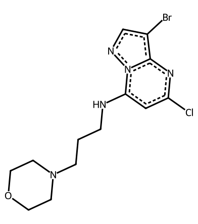 Clc1cc(NCCCN2CCOCC2)n2ncc(Br)c2n1